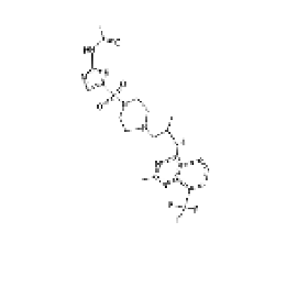 CC(=O)Nc1ncc(S(=O)(=O)N2CCN(CC(C)Nc3nc(C)nc4c(C(F)(F)F)cccc34)CC2)s1